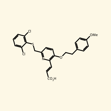 COc1ccc(CCOc2ccc(CSc3c(Cl)cccc3Cl)nc2C=CC(=O)O)cc1